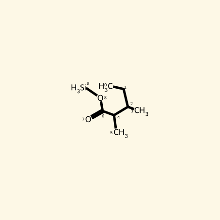 CCC(C)C(C)C(=O)O[SiH3]